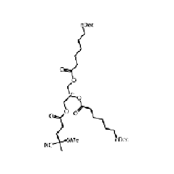 CCCCCCCCCCCCCCCC(=O)OC[C@H](COC(=O)CCC(C)(C#N)SC)OC(=O)CCCCCCCCCCCCCCC